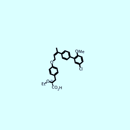 CCO[C@@H](Cc1ccc(OCC=C(C)c2ccc(-c3cc(Cl)ccc3OC)cc2)cc1)C(=O)O